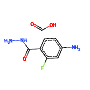 NNC(=O)c1ccc(N)cc1F.O=CO